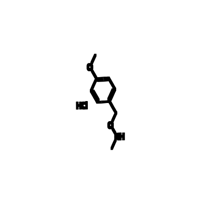 CNOCc1ccc(OC)cc1.Cl